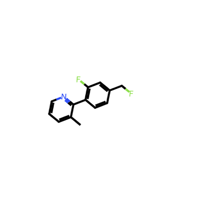 Cc1cccnc1-c1ccc(CF)cc1F